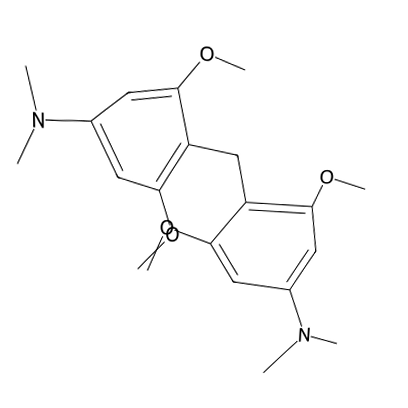 COc1cc(N(C)C)cc(OC)c1Cc1c(OC)cc(N(C)C)cc1OC